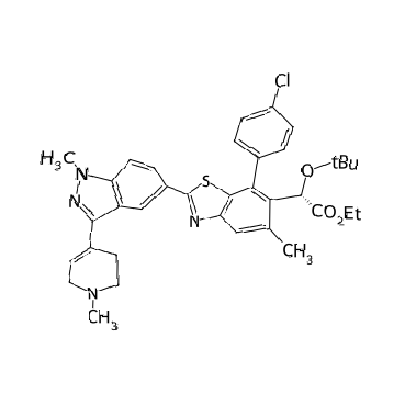 CCOC(=O)[C@@H](OC(C)(C)C)c1c(C)cc2nc(-c3ccc4c(c3)c(C3=CCN(C)CC3)nn4C)sc2c1-c1ccc(Cl)cc1